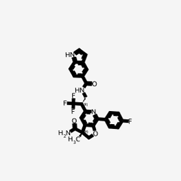 C[C@]1(C(N)=O)COc2c1cc([C@@H](CNC(=O)c1ccc3[nH]ccc3c1)C(F)(F)F)nc2-c1ccc(F)cc1